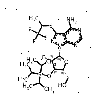 CC(Sc1nn([C@@H]2O[C@H](CO)[C@@H](O[Si](C(C)C)(C(C)C)C(C)C)[C@@H]2F)c2ncnc(N)c12)C(F)(F)F